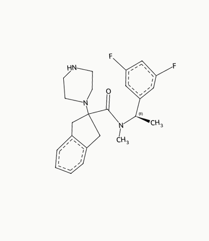 C[C@H](c1cc(F)cc(F)c1)N(C)C(=O)C1(N2CCNCC2)Cc2ccccc2C1